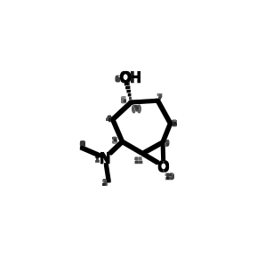 CN(C)C1C[C@H](O)CCC2OC21